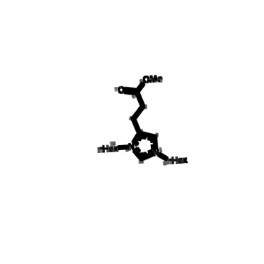 CCCCCCn1cc(CCC(=O)OC)[n+](CCCCCC)c1